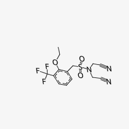 CCOc1c(CS(=O)(=O)N(CC#N)CC#N)cccc1C(F)(F)F